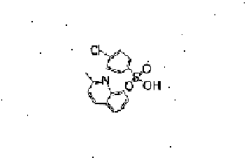 Cc1ccc2ccccc2n1.O=S(=O)(O)c1ccc(Cl)cc1